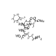 COC(=O)[C@@H](C)NC(=O)[C@@H](CC1CCCCC1)NC(=O)NC(CCCCN)C(=O)O